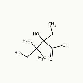 CCC(O)(C(=O)O)C(C)(C)CO